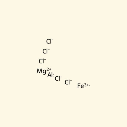 [Al].[Cl-].[Cl-].[Cl-].[Cl-].[Cl-].[Fe+3].[Mg+2]